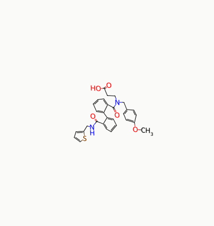 COc1ccc(CN(CCC(=O)O)C(=O)c2ccccc2-c2ccccc2C(=O)NCc2cccs2)cc1